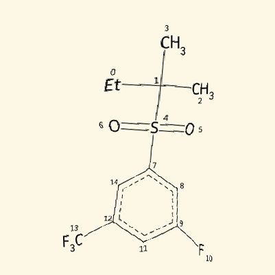 CCC(C)(C)S(=O)(=O)c1cc(F)cc(C(F)(F)F)c1